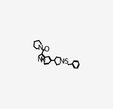 O=C(c1cnn2ccc(C3CCN(SCc4ccccc4)CC3)cc12)N1CCCCC1